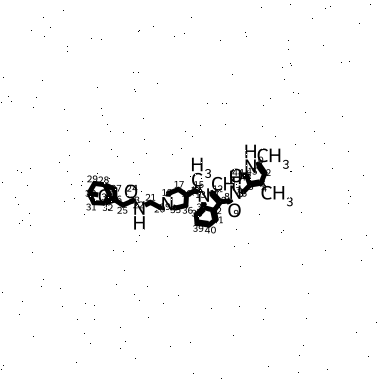 Cc1cc(C)c(CNC(=O)c2c(C)n([C@@H](C)C3CCN(CCNC(=O)CC45CC6CC(CC4C6)C5)CC3)c3ccccc23)c(=O)[nH]1